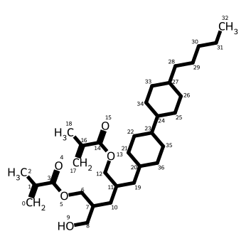 C=C(C)C(=O)OCC(CO)CC(COC(=O)C(=C)C)CC1CCC(C2CCC(CCCCC)CC2)CC1